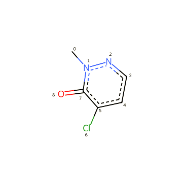 Cn1nccc(Cl)c1=O